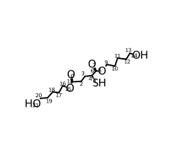 O=C(CCC(S)C(=O)OCCCCCO)OCCCCCO